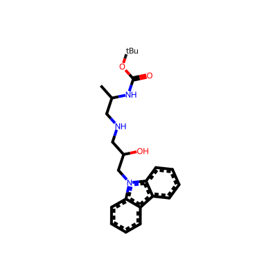 CC(CNCC(O)Cn1c2ccccc2c2ccccc21)NC(=O)OC(C)(C)C